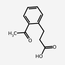 CC(=O)c1ccccc1CCC(=O)O